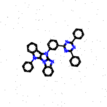 c1ccc(-c2nc(-c3ccccc3)nc(-c3cccc(-n4c5c6ccccc6n(-c6ccccc6)c5n5c6ccccc6nc45)c3)n2)cc1